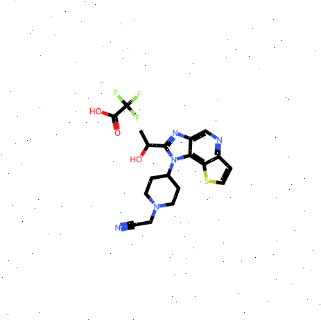 CC(O)c1nc2cnc3ccsc3c2n1C1CCN(CC#N)CC1.O=C(O)C(F)(F)F